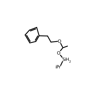 CC(OCCc1ccccc1)O[SiH2]C(C)C